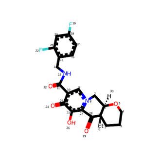 CC[C@]12CCCO[C@@H]1Cn1cc(C(=O)NCc3ccc(F)cc3F)c(=O)c(O)c1C2=O